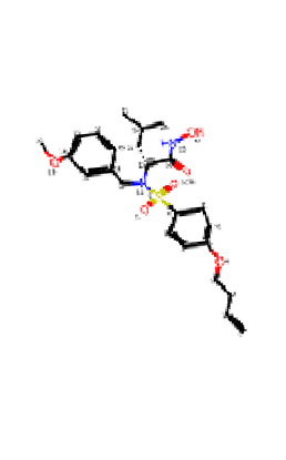 C=CCCOc1ccc(S(=O)(=O)N(Cc2cccc(OC)c2)[C@H](CC(C)C)C(=O)NO)cc1